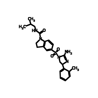 Cc1ccccc1C1CN(S(=O)(=O)c2ccc3c(c2)CCN3C(=O)NCC(C)C)C(N)=N1